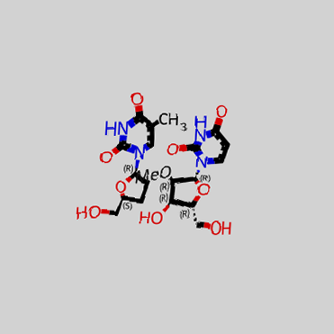 CO[C@@H]1[C@H](O)[C@@H](CO)O[C@H]1n1ccc(=O)[nH]c1=O.Cc1cn([C@H]2CC[C@@H](CO)O2)c(=O)[nH]c1=O